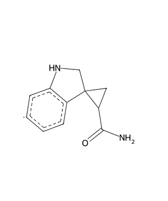 NC(=O)C1CC12CNc1c[c]ccc12